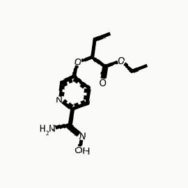 CCOC(=O)C(CC)Oc1ccc(/C(N)=N/O)nc1